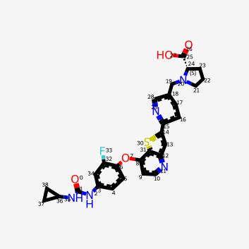 O=C(Nc1ccc(Oc2ccnc3cc(-c4ccc(CN5CCC[C@H]5C(=O)O)cn4)sc23)c(F)c1)NC1CC1